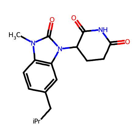 CC(C)Cc1ccc2c(c1)n(C1CCC(=O)NC1=O)c(=O)n2C